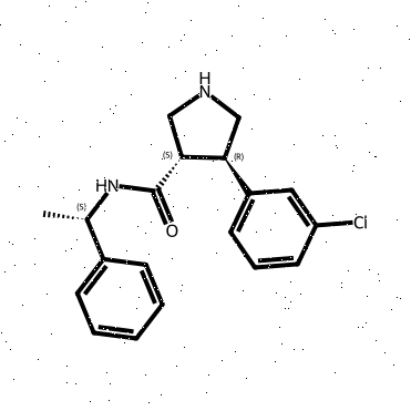 C[C@H](NC(=O)[C@@H]1CNC[C@H]1c1cccc(Cl)c1)c1ccccc1